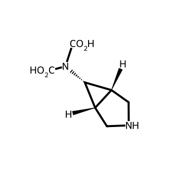 O=C(O)N(C(=O)O)[C@@H]1[C@@H]2CNC[C@@H]21